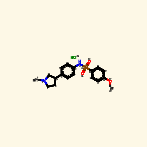 CCCN1CCC(c2ccc(NS(=O)(=O)c3ccc(OC(C)C)cc3)cc2)C1.Cl